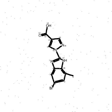 Cc1cc(Br)cc2nc(-n3cc(C(=O)O)cn3)[nH]c12